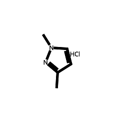 Cc1ccn(C)n1.Cl